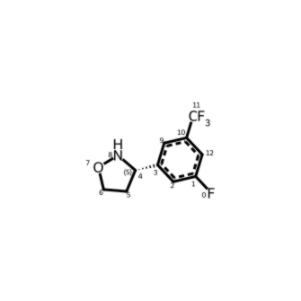 Fc1cc([C@@H]2CCON2)cc(C(F)(F)F)c1